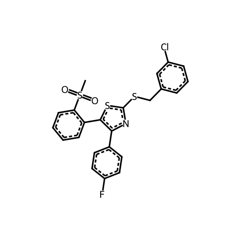 CS(=O)(=O)c1ccccc1-c1sc(SCc2cccc(Cl)c2)nc1-c1ccc(F)cc1